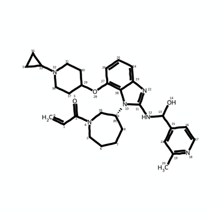 C=CC(=O)N1CCCC[C@@H](n2c(NC(O)c3ccnc(C)c3)nc3cccc(OC4CCN(C5CC5)CC4)c32)C1